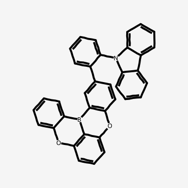 c1ccc2c(c1)Oc1cccc3c1B2c1cc(-c2ccccc2-n2c4ccccc4c4ccccc42)ccc1O3